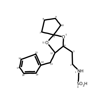 O=S(=O)(O)NCCC1OC2(CCCC2)OC1Cc1ccccc1